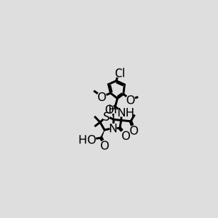 COc1cc(Cl)cc(OC)c1C(=O)NC1(C(C)=O)C(=O)N2[C@@H](C(=O)O)C(C)(C)S[C@@H]21